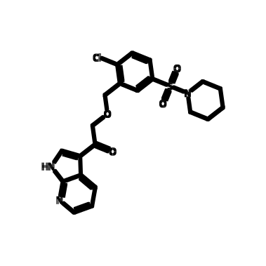 O=C(COCc1cc(S(=O)(=O)N2CCCCC2)ccc1Cl)c1c[nH]c2ncccc12